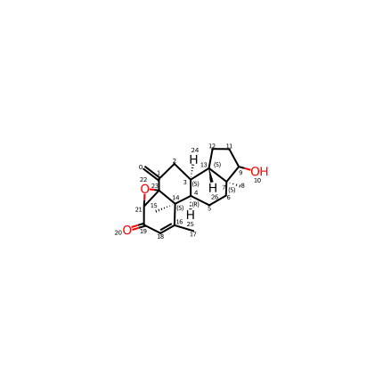 C=C1C[C@@H]2[C@@H](CC[C@]3(C)C(O)CC[C@@H]23)[C@@]2(C)C(C)=CC(=O)C3OC132